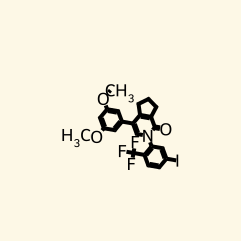 COc1cc(OC)cc(-c2cn(-c3cc(I)ccc3C(F)(F)F)c(=O)c3c2CCC3)c1